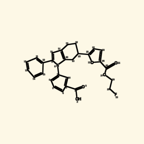 O=C(O)c1cccc(-n2c(-c3ccccc3)cc3c2CC(c2ccc(C(=O)OCCF)o2)CC3)c1